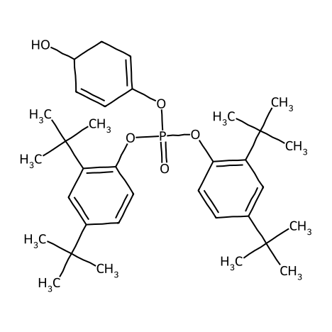 CC(C)(C)c1ccc(OP(=O)(OC2=CCC(O)C=C2)Oc2ccc(C(C)(C)C)cc2C(C)(C)C)c(C(C)(C)C)c1